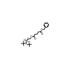 CC(C)(C)OP(=O)(OCOC(=O)CCCC(=O)OCc1ccccc1)OC(C)(C)C